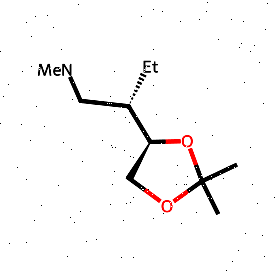 CC[C@@H](CNC)[C@@H]1COC(C)(C)O1